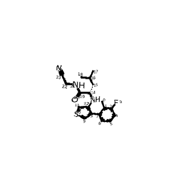 Cc1c(F)cccc1-c1cscc1N[C@@H](CC(C)C)C(=O)NCC#N